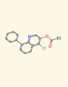 CCC(=O)Oc1cnc2c(-c3ccccc3)cccc2c1Cl